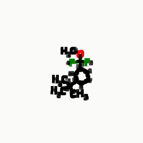 COC(F)(F)c1cccc(C(C)(C)C)c1